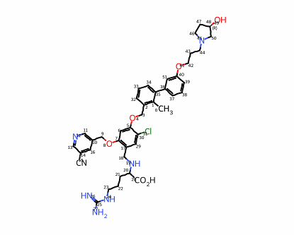 Cc1c(COc2cc(OCc3cncc(C#N)c3)c(CNC(CCCNC(=N)N)C(=O)O)cc2Cl)cccc1-c1cccc(OCCCN2CC[C@@H](O)C2)c1